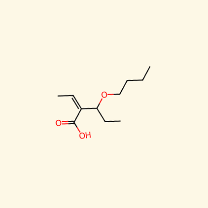 CC=C(C(=O)O)C(CC)OCCCC